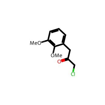 COc1cccc(CC(=O)CCl)c1OC